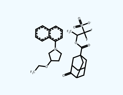 FC(F)(F)COC1CC[S+](c2cccc3ccccc23)C1.O=C1C2CC3CC1CC(C(=O)OC(C(F)(F)F)C(F)(F)S(=O)(=O)[O-])(C3)C2